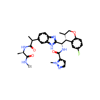 CCNC(=O)[C@@H](C)NC(=O)C(C)c1ccc2nc([C@@H](NC(=O)c3ccnn3C)[C@H]3c4cc(F)ccc4OCC3C)[nH]c2c1